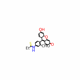 CCC(=S)Nc1ccc(C2=C3C=CC(=O)C=C3OC3C=C(O)C=CC23)c(C=O)c1